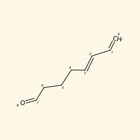 [CH]=CC=CCCCC=O